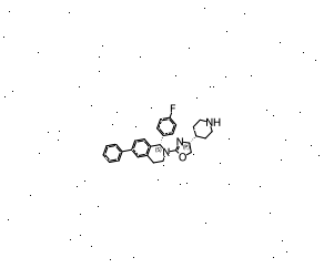 Fc1ccc([C@H]2c3ccc(-c4ccccc4)cc3CCN2C2=N[C@H](C3CCNCC3)CO2)cc1